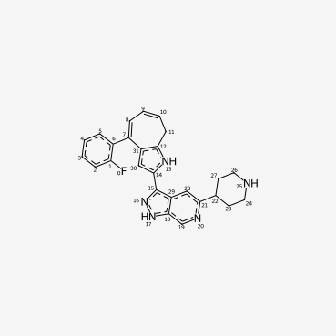 Fc1ccccc1C1=CC=CCc2[nH]c(-c3n[nH]c4cnc(C5CCNCC5)cc34)cc21